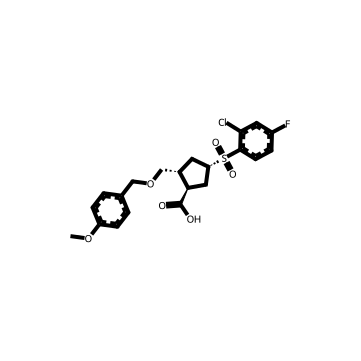 COc1ccc(COC[C@@H]2C[C@H](S(=O)(=O)c3ccc(F)cc3Cl)C[C@H]2C(=O)O)cc1